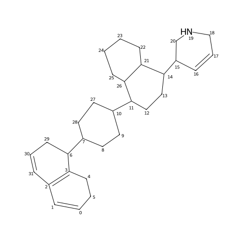 C1=CC2=C(CC1)C(C1CCC(C3CCC(C4C=CCNC4)C4CCCCC34)CC1)CC=C2